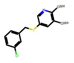 COc1cc(SCc2cccc(Cl)c2)cnc1OC